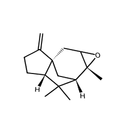 C=C1CC[C@H]2C(C)(C)[C@@H]3C[C@]12CC1O[C@@]13C